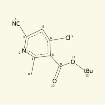 Cc1nc(C#N)cc(Cl)c1C(=O)OC(C)(C)C